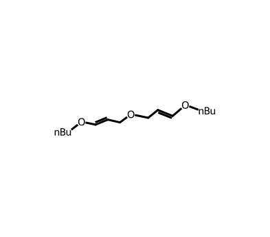 CCCCOC=CCOCC=COCCCC